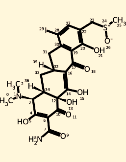 CN(C)[C@@H]1C(O)=C(C(N)=O)C(=O)[C@@]2(O)C(O)=C3C(=O)c4c(O)c(C[S+](C)[O-])cc(I)c4C[C@H]3C[C@@H]12